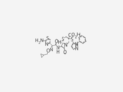 Nc1nc(C(=NOCC2CC2)C(=O)N[C@@H]2C(=O)N3CC(Sc4ccnn4-c4ccccc4)(C(=O)O)CS[C@H]23)cs1